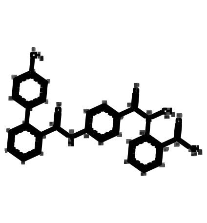 Cc1ccc(-c2ccccc2C(=O)Nc2ccc(C(=O)N(C)c3ccccc3C(N)=O)cc2)cc1